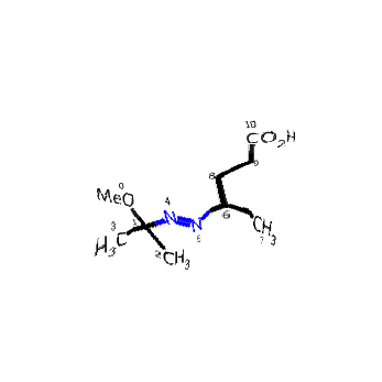 COC(C)(C)N=NC(C)CCC(=O)O